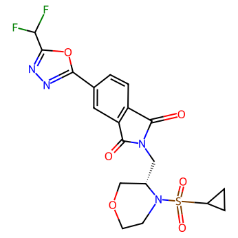 O=C1c2ccc(-c3nnc(C(F)F)o3)cc2C(=O)N1C[C@H]1COCCN1S(=O)(=O)C1CC1